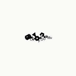 CC(C)(C)OC(=O)[C@@H]1CCCN1C(=O)c1cc(C2CC2)c(OCC2(C#N)C3CC4CC(C3)CC2C4)cc1F